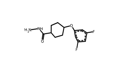 NNC(=O)C1CCC(Oc2cc(F)cc(F)c2)CC1